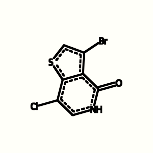 O=c1[nH]cc(Cl)c2scc(Br)c12